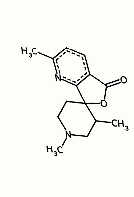 Cc1ccc2c(n1)C1(CCN(C)CC1C)OC2=O